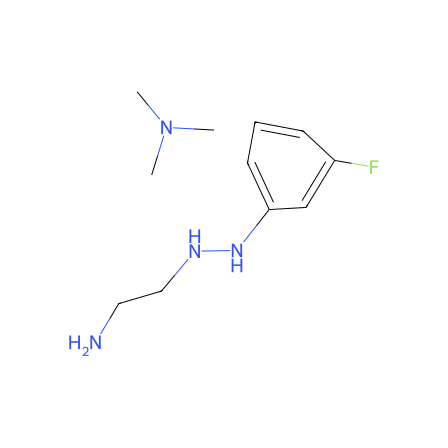 CN(C)C.NCCNNc1cccc(F)c1